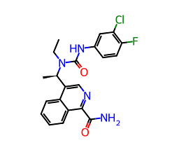 CCN(C(=O)Nc1ccc(F)c(Cl)c1)[C@H](C)c1cnc(C(N)=O)c2ccccc12